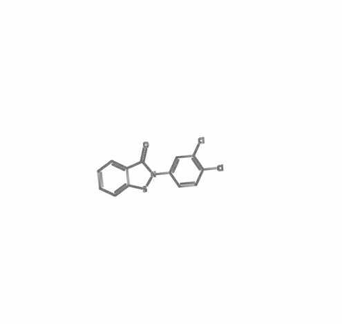 O=c1c2ccccc2sn1-c1ccc(Cl)c(Cl)c1